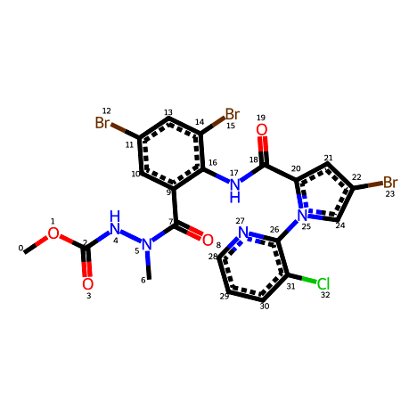 COC(=O)NN(C)C(=O)c1cc(Br)cc(Br)c1NC(=O)c1cc(Br)cn1-c1ncccc1Cl